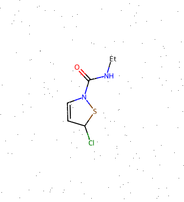 CCNC(=O)N1C=CC(Cl)S1